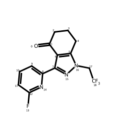 O=C1CCCc2c1c(-c1cccc(F)n1)nn2CC(F)(F)F